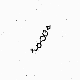 CCCCNCc1ccc(N2CCC3(CC2)CCN(C2CCC2)CC3)cc1